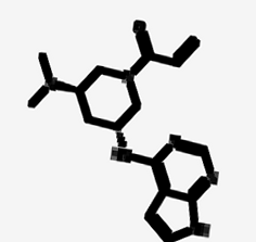 C=CC(=O)N1C[C@H](Nc2ncnc3[nH]ccc23)C[C@@H](N(C)C)C1